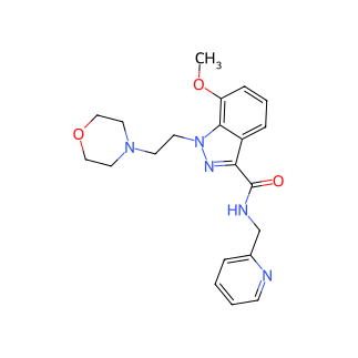 COc1cccc2c(C(=O)NCc3ccccn3)nn(CCN3CCOCC3)c12